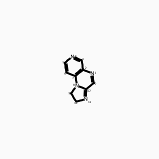 C1=Nc2cnccc2N2CCN=C12